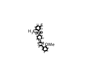 COc1ccccc1-c1csc(N2CCC(S(=O)(=O)c3cc(F)ccc3C)CC2)n1